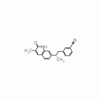 Cc1cc2ccc([C@@H](C)Cc3cccc(C#N)c3)cc2[nH]c1=O